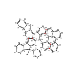 CC1(c2ccccc2)c2ccccc2-c2ccc(N(c3ccccc3-c3cccc4c3sc3ccccc34)c3ccccc3-c3cccc4cccc(-c5ccccc5)c34)cc21